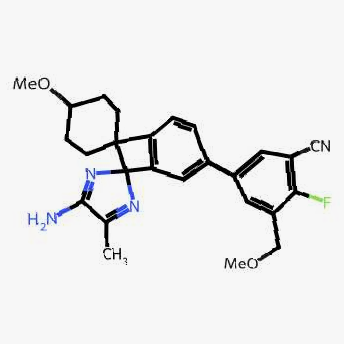 COCc1cc(-c2ccc3c(c2)C2(N=C(C)C(N)=N2)C32CCC(OC)CC2)cc(C#N)c1F